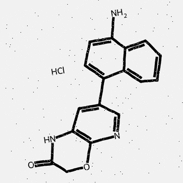 Cl.Nc1ccc(-c2cnc3c(c2)NC(=O)CO3)c2ccccc12